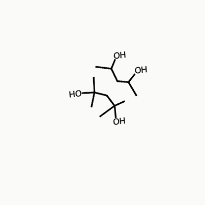 CC(C)(O)CC(C)(C)O.CC(O)CC(C)O